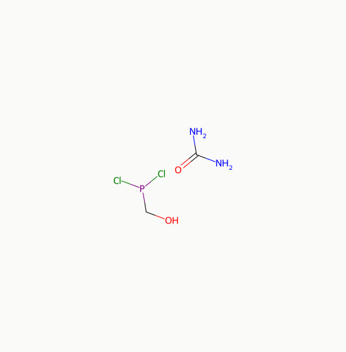 NC(N)=O.OCP(Cl)Cl